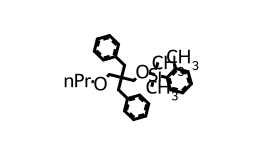 CCCOCC(CO[Si](C)(C)c1ccccc1C)(Cc1ccccc1)Cc1ccccc1